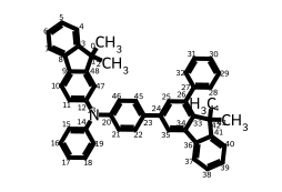 CC1(C)c2ccccc2-c2ccc(N(c3ccccc3)c3ccc(-c4cc(-c5ccccc5)c5c(c4)-c4ccccc4C5(C)C)cc3)cc21